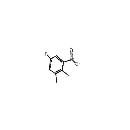 Cc1cc(F)cc([N+](=O)[O-])c1F